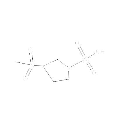 CS(=O)(=O)C1CCN(S(=O)(=O)O)C1